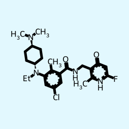 CCN(c1cc(Cl)cc(C(=O)NCc2c(C)[nH]c(F)cc2=O)c1C)[C@H]1CC[C@H](N(C)C)CC1